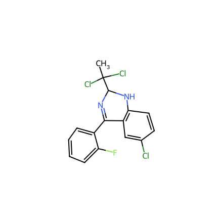 CC(Cl)(Cl)C1N=C(c2ccccc2F)c2cc(Cl)ccc2N1